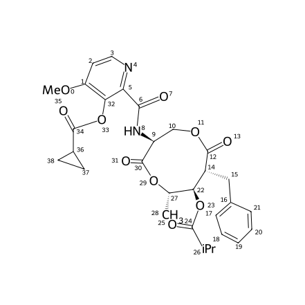 COc1ccnc(C(=O)N[C@H]2COC(=O)[C@H](Cc3ccccc3)[C@@H](OC(=O)C(C)C)[C@H](C)OC2=O)c1OC(=O)C1CC1